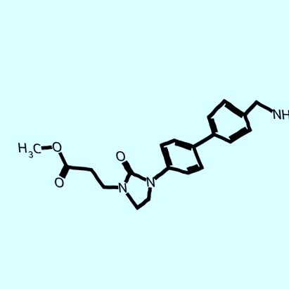 COC(=O)CCN1CCN(c2ccc(-c3ccc(CN)cc3)cc2)C1=O